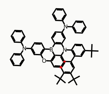 CC(C)(C)c1ccc(N2c3cc(N(c4ccccc4)c4ccccc4)ccc3B3c4ccc(N(c5ccccc5)c5ccccc5)cc4Oc4cccc2c43)c(-c2ccc(C(C)(C)C)c(C(C)(C)C)c2)c1